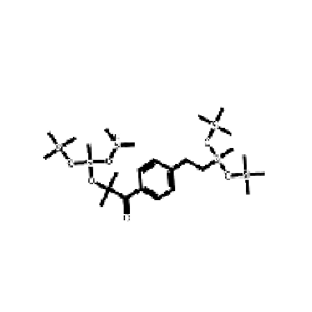 C[SiH](C)O[Si](C)(OC(C)(C)C(=O)c1ccc(CC[Si](C)(O[Si](C)(C)C)O[Si](C)(C)C)cc1)O[Si](C)(C)C